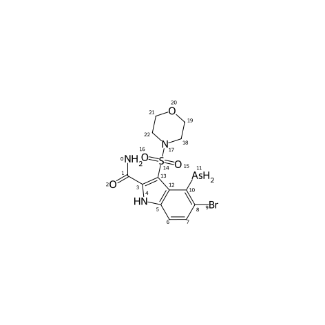 NC(=O)c1[nH]c2ccc(Br)c([AsH2])c2c1S(=O)(=O)N1CCOCC1